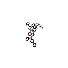 CC1(C)c2ccccc2-c2c1ccc(-c1ccc(N(c3ccccc3)c3ccc(-c4ccccc4)cc3)cc1)c2N(c1ccccc1)c1ccc(-c2ccccc2)cc1